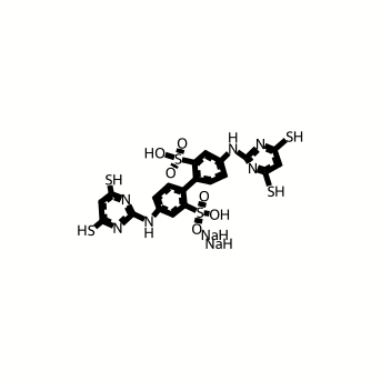 O=S(=O)(O)c1cc(Nc2nc(S)cc(S)n2)ccc1-c1ccc(Nc2nc(S)cc(S)n2)cc1S(=O)(=O)O.[NaH].[NaH]